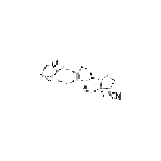 CC12CC=C3C4=C(CCC3C1CC[C@@H]2C#N)CC1(CC4)OCCO1